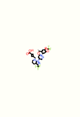 C[C@@H](Oc1cc(-n2nc(C(F)(F)F)c3c2N(CC24CC(C(=O)O)(C2)C4)CCC3)cnn1)c1ccc2c(c1)OC(F)(F)O2